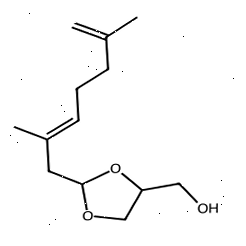 C=C(C)CCC=C(C)CC1OCC(CO)O1